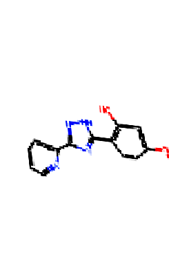 COc1ccc(-c2nc(-c3ccccn3)n[nH]2)c(O)c1